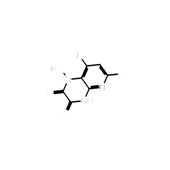 O=c1[nH]c2nc(F)cc(F)c2n(O)c1=O